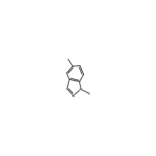 Cc1ccc2c(cnn2I)c1